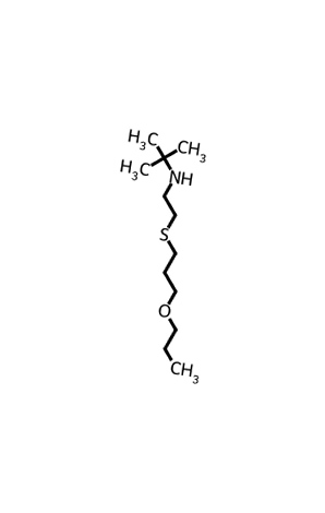 CCCOCCCSCCNC(C)(C)C